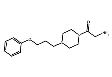 NCC(=O)N1CCN(CCCOc2cc[c]cc2)CC1